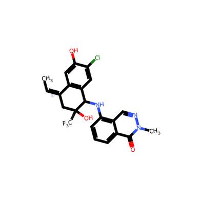 C/C=C1/CC(O)(C(F)(F)F)C(Nc2cccc3c(=O)n(C)ncc23)c2cc(Cl)c(O)cc21